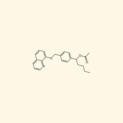 CCCCC(OC(C)=O)c1ccc(COc2cccc3cccnc23)cc1